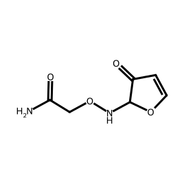 NC(=O)CONC1OC=CC1=O